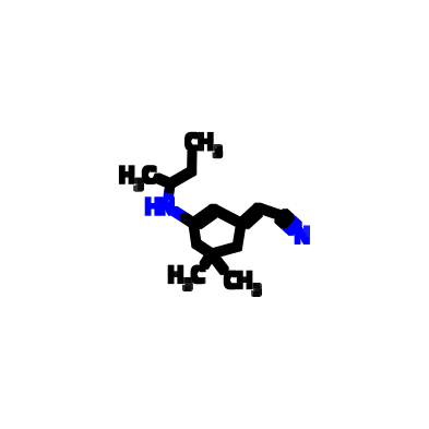 CCC(C)NC1=C/C(=C/C#N)CC(C)(C)C1